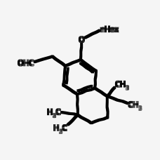 CCCCCCOc1cc2c(cc1CC=O)C(C)(C)CCC2(C)C